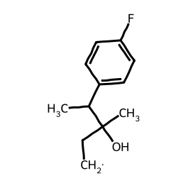 [CH2]CC(C)(O)C(C)c1ccc(F)cc1